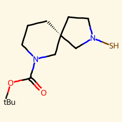 CC(C)(C)OC(=O)N1CCC[C@@]2(CCN(S)C2)C1